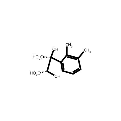 Cc1cccc([C@@](O)(C(=O)O)[C@H](O)C(=O)O)c1C